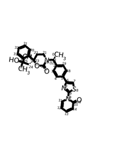 C[C@@H](c1ccc(-c2csc(-n3ccccc3=O)n2)cc1)N1CC[C@](CC(C)(C)O)(c2ccccc2)OC1=O